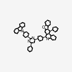 c1ccc(-c2cc(-c3ccc(-c4nc5ccccc5c5c(-c6ccccc6)c6c(cc45)oc4ccccc46)cc3)nc(-c3ccc(-n4c5ccccc5c5ccccc54)cc3)n2)cc1